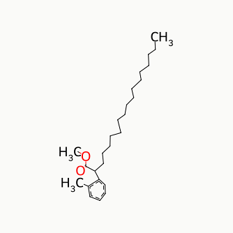 CCCCCCCCCCCCCCCCC(C(=O)OC)c1ccccc1C